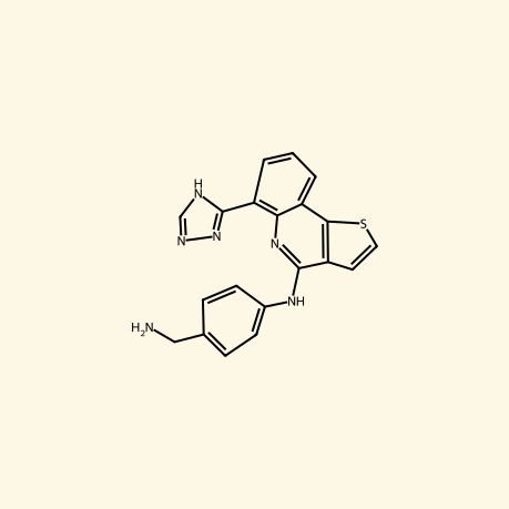 NCc1ccc(Nc2nc3c(-c4nnc[nH]4)cccc3c3sccc23)cc1